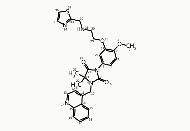 COc1ccc(N2C(=O)N(Cc3ccnc4ccccc34)C(C)(C)C2=O)cc1OCCNCc1nccs1